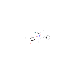 CCOc1cc([C@@H](C)N(CCCCc2ccccc2)C(=O)N(C)C2(C(=O)OC)CC(F)(F)C2)cc(OCC)c1C